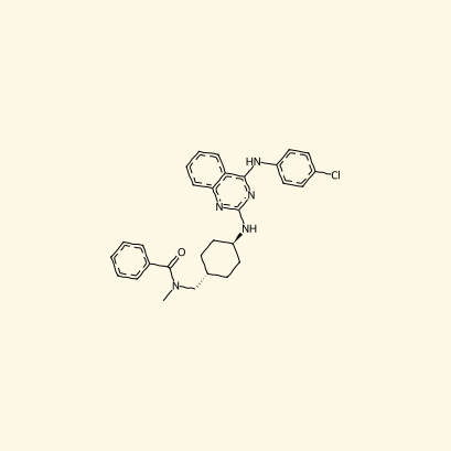 CN(C[C@H]1CC[C@H](Nc2nc(Nc3ccc(Cl)cc3)c3ccccc3n2)CC1)C(=O)c1ccccc1